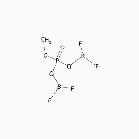 COP(=O)(OB(F)F)OB(F)F